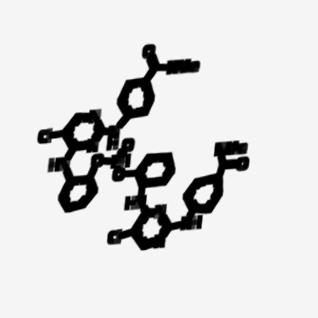 CNC(=O)c1ccc(Nc2ncc(Cl)c(Nc3ccccc3O[PH](=O)Oc3ccccc3Nc3nc(Nc4ccc(C(=O)NC)cc4)ncc3Cl)n2)cc1